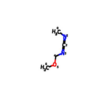 CN=C=NCOC